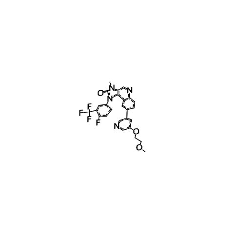 COCCOc1cncc(-c2ccc3ncc4c(c3c2)n(-c2ccc(F)c(C(F)(F)F)c2)c(=O)n4C)c1